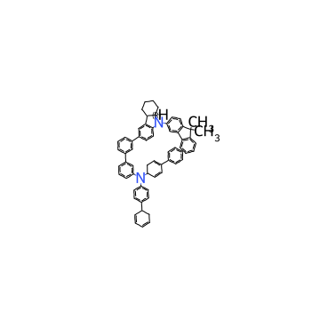 CC1(C)c2ccccc2-c2cc(N3c4ccc(-c5cccc(-c6cccc(N(c7ccc(C8C=CC=CC8)cc7)C7C=CC(c8ccccc8)=CC7)c6)c5)cc4C4CCCC[C@H]43)ccc21